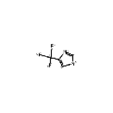 FC(F)(F)C1=[C][N]C=N1